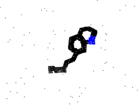 CCCC(C)CCc1ccc2c(c1)N=CCC2